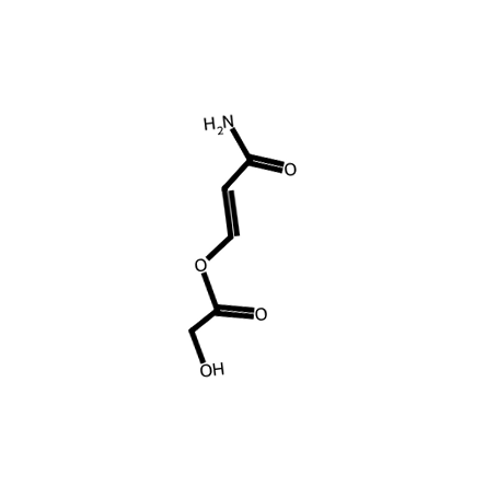 NC(=O)C=COC(=O)CO